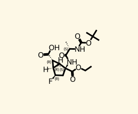 CCOC(=O)[C@]1(NC(=O)[C@H](C)NC(=O)OC(C)(C)C)C[C@@H](F)[C@H]2[C@H](C(=O)O)[C@H]21